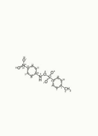 Cc1ccc(S(=O)(=O)ONc2ccc([N+](=O)[O-])cc2)cc1